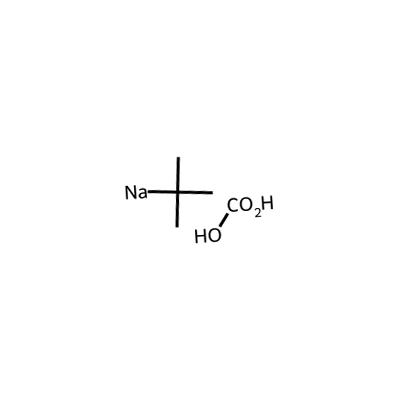 C[C](C)(C)[Na].O=C(O)O